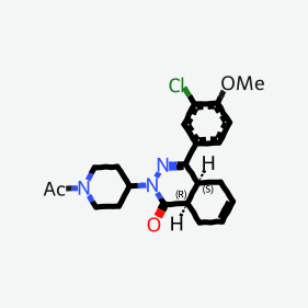 COc1ccc(C2=NN(C3CCN(C(C)=O)CC3)C(=O)[C@@H]3CC=CC[C@H]23)cc1Cl